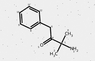 CC(C)(N)C(=O)Cc1ccccc1